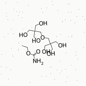 CCOC(N)=O.OCC(CO)(CO)COCC(CO)(CO)CO